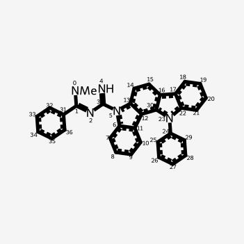 CN/C(=N\C(=N)n1c2ccccc2c2c1ccc1c3ccccc3n(-c3ccccc3)c12)c1ccccc1